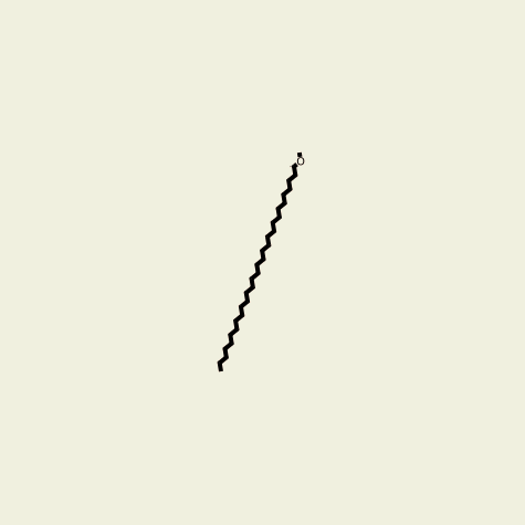 CCCCCCCCCCCCCCCCCCCCCCCCCCCCC[CH]OC